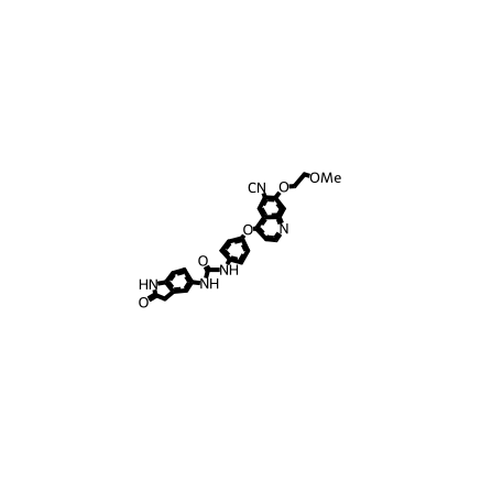 [C-]#[N+]c1cc2c(Oc3ccc(NC(=O)Nc4ccc5c(c4)CC(=O)N5)cc3)ccnc2cc1OCCOC